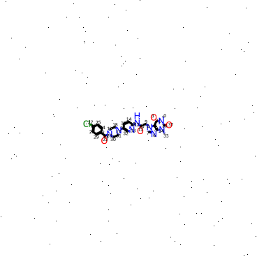 Cn1c(=O)c2c(ncn2CC(=O)Nc2ccc(N3CCN(C(=O)c4ccc(Cl)cc4)CC3)cn2)n(C)c1=O